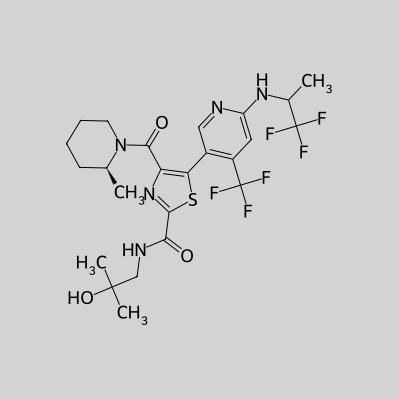 CC(Nc1cc(C(F)(F)F)c(-c2sc(C(=O)NCC(C)(C)O)nc2C(=O)N2CCCC[C@@H]2C)cn1)C(F)(F)F